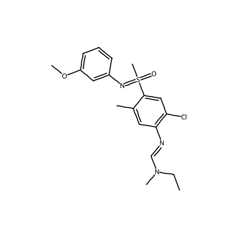 CCN(C)C=Nc1cc(C)c(S(C)(=O)=Nc2cccc(OC)c2)cc1Cl